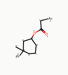 CC(=O)CC(=O)OC1CCCC(C)(C(C)C)C1